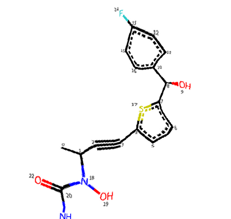 CC(C#Cc1ccc([C@H](O)c2ccc(F)cc2)s1)N(O)C(N)=O